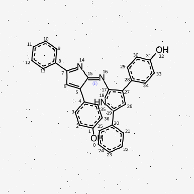 Oc1ccc(C2=CC(c3ccccc3)=N/C2=N/c2[nH]c(-c3ccccc3)cc2-c2ccc(O)cc2)cc1